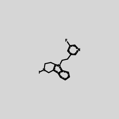 Fc1cncc(CCn2c3c(c4ccccc42)CN(I)CC3)c1